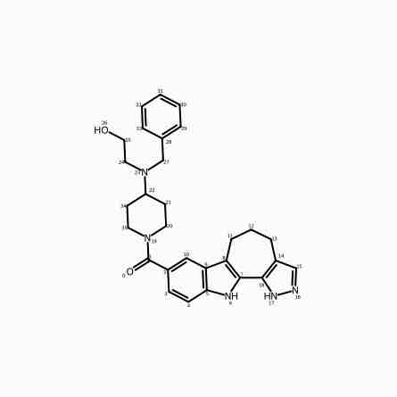 O=C(c1ccc2[nH]c3c(c2c1)CCCc1cn[nH]c1-3)N1CCC(N(CCO)Cc2ccccc2)CC1